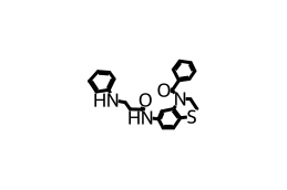 O=C(CCNc1ccccc1)Nc1ccc2c(c1)N(C(=O)c1ccccc1)CCS2